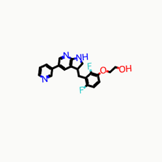 OCCOc1ccc(F)c(CC2CNc3ncc(-c4cccnc4)cc32)c1F